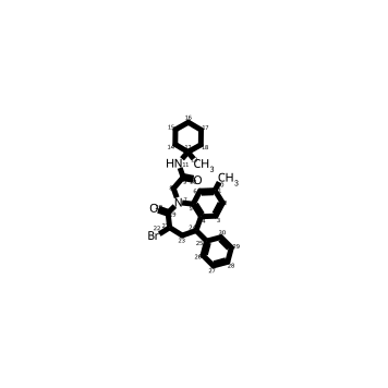 Cc1ccc2c(c1)N(CC(=O)NC1(C)CCCCC1)C(=O)C(Br)CC2c1ccccc1